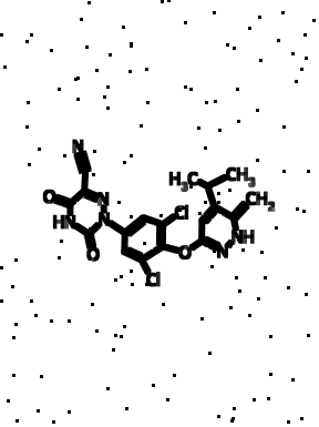 C=C1NN=C(Oc2c(Cl)cc(-n3nc(C#N)c(=O)[nH]c3=O)cc2Cl)C=C1C(C)C